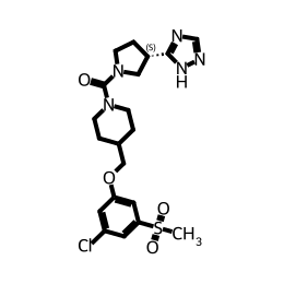 CS(=O)(=O)c1cc(Cl)cc(OCC2CCN(C(=O)N3CC[C@H](c4ncn[nH]4)C3)CC2)c1